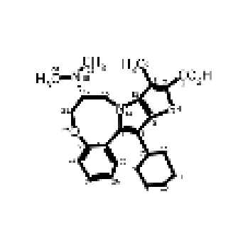 Cc1c(C(=O)O)sc2c(C3CCCCC3)c3n(c12)C[C@@H](N(C)C)COc1ccccc1-3